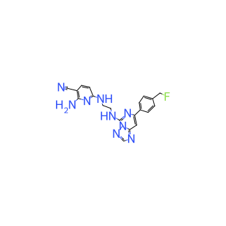 N#Cc1ccc(NCCNc2nc(-c3ccc(CF)cc3)cc3ncnn23)nc1N